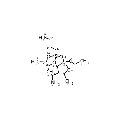 CCO[Si](CCCN)(OCC)O[Si](CCCN)(OCC)OCC